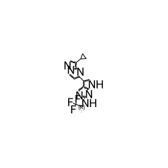 C[C@@H](Nc1ncc2c(-c3ccn4ncc(C5CC5)c4n3)c[nH]c2n1)C(F)(F)F